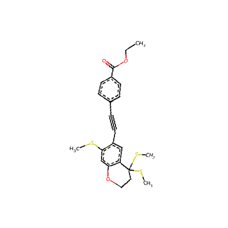 CCOC(=O)c1ccc(C#Cc2cc3c(cc2SC)OCCC3(SC)SC)cc1